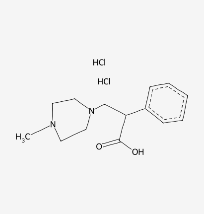 CN1CCN(CC(C(=O)O)c2ccccc2)CC1.Cl.Cl